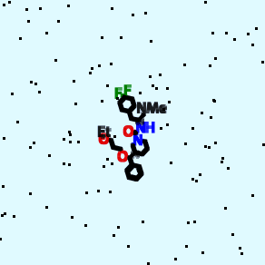 CCOCCCOC(c1ccccc1)[C@@H]1CCCN(C(=O)N[C@H](CNC)CC2CCC(F)(F)CC2)C1